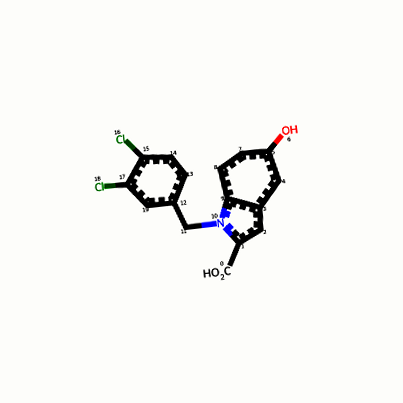 O=C(O)c1cc2cc(O)ccc2n1Cc1ccc(Cl)c(Cl)c1